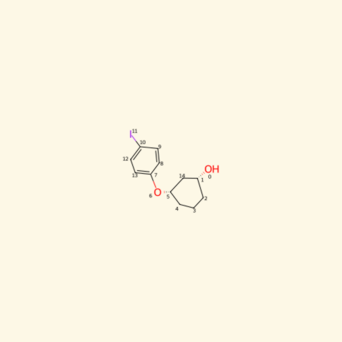 O[C@@H]1CCC[C@H](Oc2ccc(I)cc2)C1